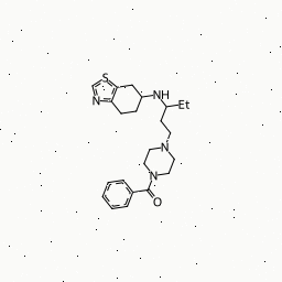 CCC(CCN1CCN(C(=O)c2ccccc2)CC1)NC1CCc2ncsc2C1